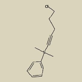 C[Si](C)(C#CCCCCl)c1ccccc1